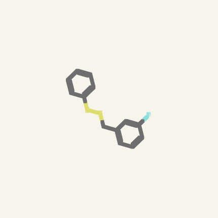 Fc1cccc(CSSc2ccccc2)c1